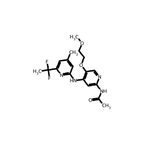 COCCOc1cnc(NC(C)=O)cc1Nc1cc(C)cc(C(C)(F)F)n1